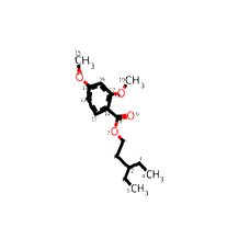 CCC(CC)CCOC(=O)c1ccc(OC)cc1OC